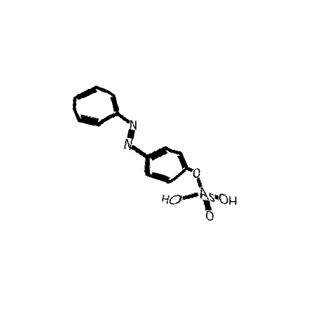 O=[As](O)(O)Oc1ccc(N=Nc2ccccc2)cc1